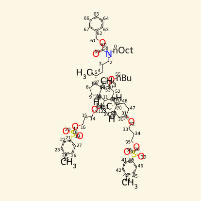 CCCCCCCCN(CCCC(C)[C@H]1CC[C@H]2C3[C@H](OCCCOS(=O)(=O)c4ccc(C)cc4)C[C@@H]4C[C@H](OCCCOS(=O)(=O)c5ccc(C)cc5)CC[C@]4(C)[C@H]3C[C@H](OCCCC)[C@]12C)C(=O)OCc1ccccc1